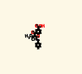 CC(C)c1c(/C=C/c2ccccc2)oc2ccc(C(=O)O)cc2c1=O